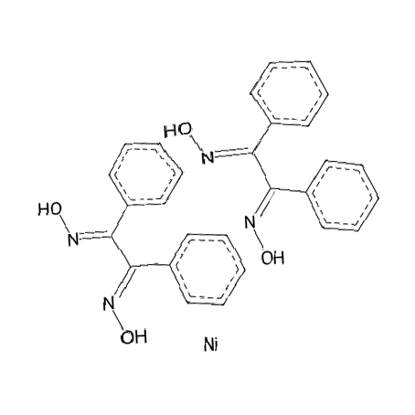 O/N=C(/C(=N/O)c1ccccc1)c1ccccc1.O/N=C(/C(=N/O)c1ccccc1)c1ccccc1.[Ni]